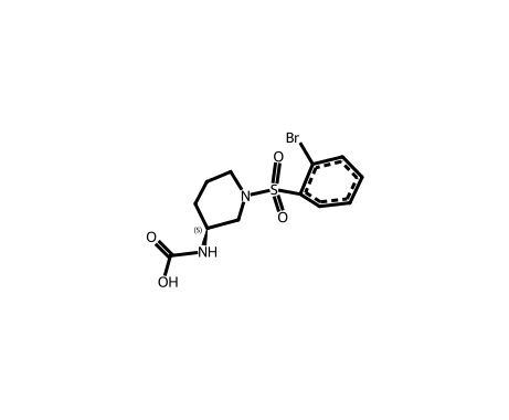 O=C(O)N[C@H]1CCCN(S(=O)(=O)c2ccccc2Br)C1